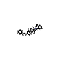 O=C(NS(=O)(=O)/C=C/c1ccccc1F)N1CCC(CCCc2ccccc2)CC1